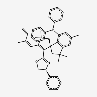 C=C/C(C)=C\C1=C(C2=N[C@@H](c3ccccc3)CO2)[C@@]2(CC1(C)C)CC(C)(C)c1cc(C)cc(P(c3ccccc3)c3ccccc3)c12